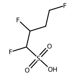 O=S(=O)(O)C(F)C(F)CCF